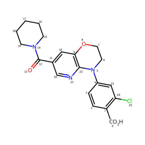 O=C(O)c1ccc(N2CCOc3cc(C(=O)N4CCCCC4)cnc32)cc1Cl